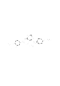 COc1ccc(Nc2ncnc3c2C(C#N)CN(c2ccc(C#N)c(C(F)(F)F)c2)C3)cc1